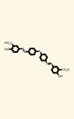 O=C(O)c1cc(/N=N/c2ccc(Sc3ccc(/N=N/c4ccc(O)c(C(=O)O)c4)cc3)cc2)ccc1O